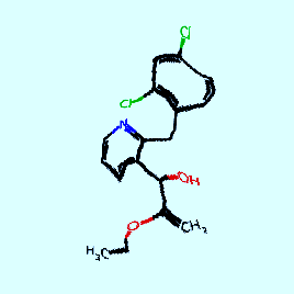 C=C(OCC)C(O)c1cccnc1Cc1ccc(Cl)cc1Cl